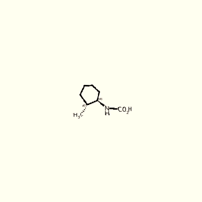 C[C@@H]1CCCC[C@H]1NC(=O)O